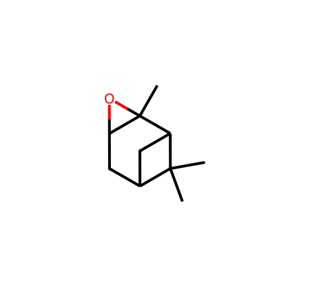 CC1(C)C2CC3OC3(C)C1C2